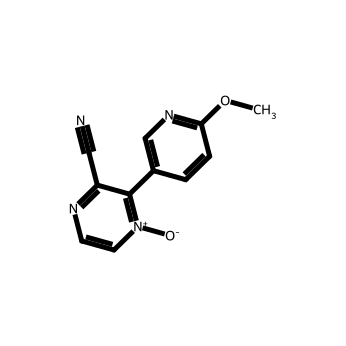 COc1ccc(-c2c(C#N)ncc[n+]2[O-])cn1